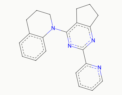 c1ccc(-c2nc3c(c(N4CCCc5ccccc54)n2)CCC3)nc1